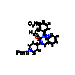 CCCC(C)N1CCC(N(Cc2ccccc2)C(=O)Nc2cccc([N+](=O)[O-])c2C)CC1